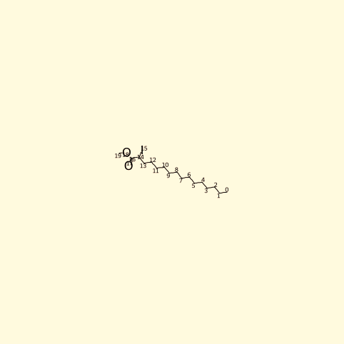 CCCCCCCCCCCCCCC(I)C(=O)OC